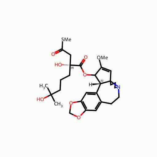 COC1=CC23CCCN2CCc2cc4c(cc2[C@@H]3C1OC(=O)[C@@](O)(CCCC(C)(C)O)CC(=O)SC)OCO4